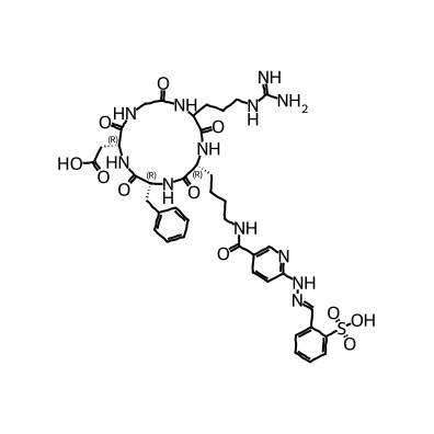 N=C(N)NCCCC1NC(=O)CNC(=O)[C@@H](CC(=O)O)NC(=O)[C@@H](Cc2ccccc2)NC(=O)[C@@H](CCCCNC(=O)c2ccc(NN=Cc3ccccc3S(=O)(=O)O)nc2)NC1=O